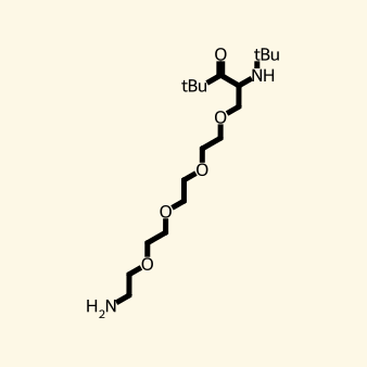 CC(C)(C)NC(COCCOCCOCCOCCN)C(=O)C(C)(C)C